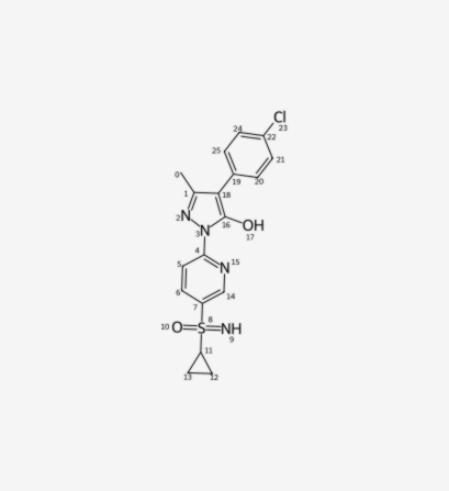 Cc1nn(-c2ccc(S(=N)(=O)C3CC3)cn2)c(O)c1-c1ccc(Cl)cc1